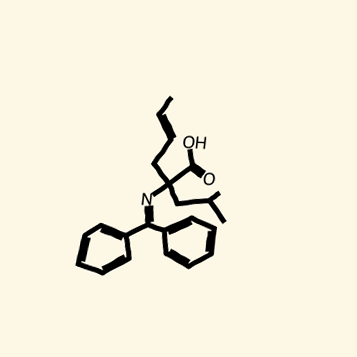 CC=CCC(CC(C)C)(N=C(c1ccccc1)c1ccccc1)C(=O)O